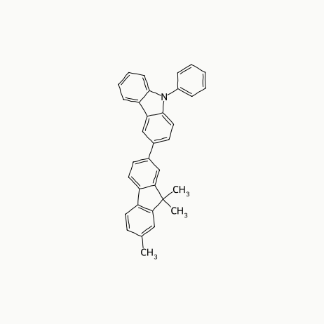 Cc1ccc2c(c1)C(C)(C)c1cc(-c3ccc4c(c3)c3ccccc3n4-c3ccccc3)ccc1-2